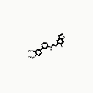 CSc1cc(-c2cc(NCCc3cc4ccoc4cc3F)ncn2)ccc1C(=O)O